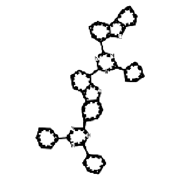 c1ccc(-c2nc(-c3ccccc3)nc(-c3ccc4sc5c(-c6nc(-c7ccccc7)nc(-c7cccc8c7oc7ccccc78)n6)cccc5c4c3)n2)cc1